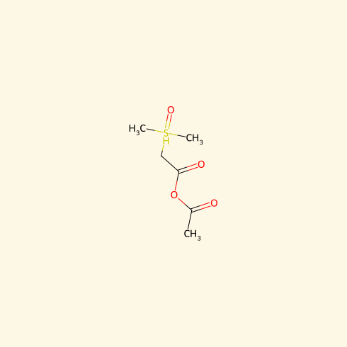 CC(=O)OC(=O)C[SH](C)(C)=O